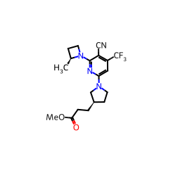 COC(=O)CC[C@@H]1CCN(c2cc(C(F)(F)F)c(C#N)c(N3CC[C@@H]3C)n2)C1